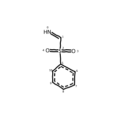 N=CS(=O)(=O)c1ccccc1